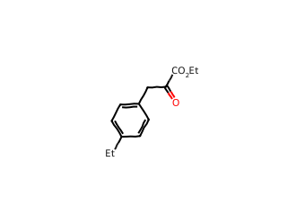 CCOC(=O)C(=O)Cc1ccc(CC)cc1